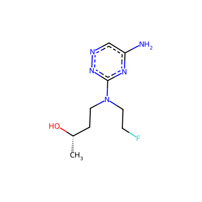 C[C@H](O)CCN(CCF)c1nncc(N)n1